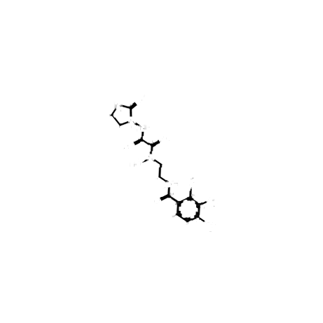 O=C(NN1CCNC1=O)C(=O)N(O)CCNC(=O)c1ccc(O)c(O)c1Cl